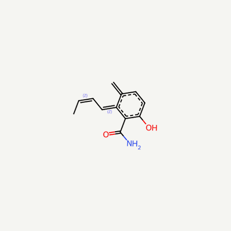 C=c1ccc(O)c(C(N)=O)/c1=C/C=C\C